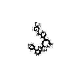 Cc1ccc(-c2cncc(CN3CCC(F)(F)C3)c2)ccc(-c2nc3c(-c4ccncc4)cncc3[nH]2)n[nH]1